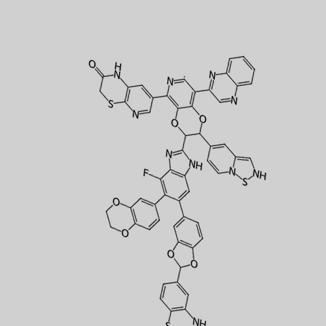 O=C1CSc2ccc(C3Oc4ccc(-c5cc6[nH]c(C7Oc8c(-c9cnc%10c(c9)NC(=O)CS%10)n[c]c(-c9cnc%10ccccc%10n9)c8OC7C7=CC8=CNSN8C=C7)nc6c(F)c5-c5ccc6c(c5)OCCO6)cc4O3)cc2N1